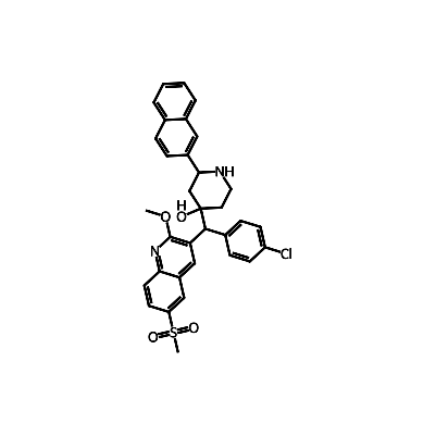 COc1nc2ccc(S(C)(=O)=O)cc2cc1C(c1ccc(Cl)cc1)C1(O)CCNC(c2ccc3ccccc3c2)C1